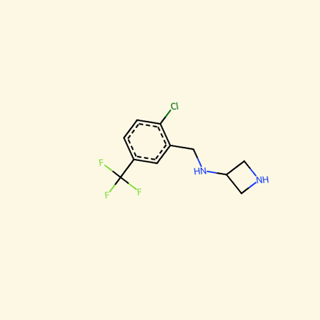 FC(F)(F)c1ccc(Cl)c(CNC2CNC2)c1